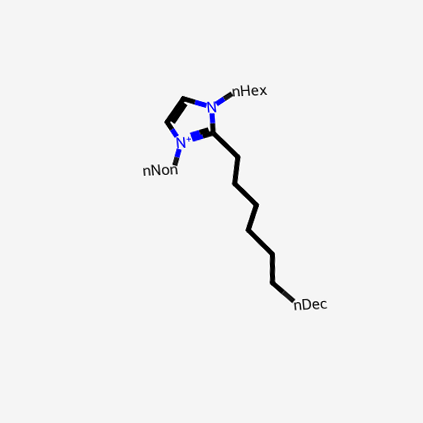 CCCCCCCCCCCCCCCCc1n(CCCCCC)cc[n+]1CCCCCCCCC